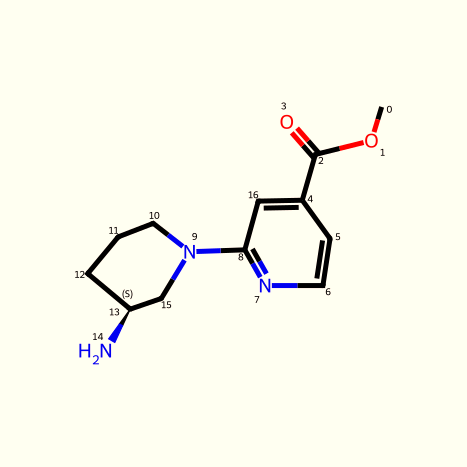 COC(=O)c1ccnc(N2CCC[C@H](N)C2)c1